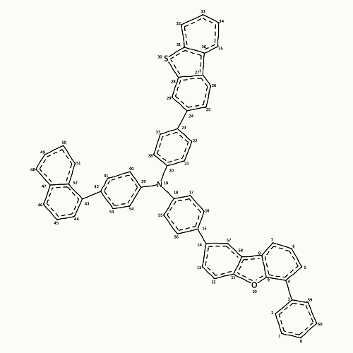 c1ccc(-c2cccc3c2oc2ccc(-c4ccc(N(c5ccc(-c6ccc7c(c6)sc6ccccc67)cc5)c5ccc(-c6cccc7ccccc67)cc5)cc4)cc23)cc1